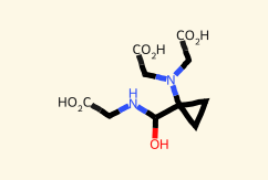 O=C(O)CNC(O)C1(N(CC(=O)O)CC(=O)O)CC1